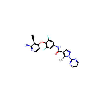 C#Cc1c(Oc2c(F)cc(NC(=O)c3cnn(-c4ncccn4)c3C(F)(F)F)cc2F)ccnc1N